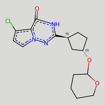 O=c1[nH]c([C@H]2CC[C@H](OC3CCCCO3)C2)nn2ccc(Cl)c12